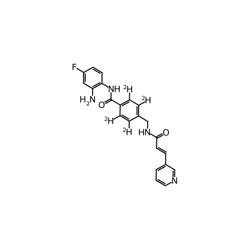 [2H]c1c([2H])c(C(=O)Nc2ccc(F)cc2N)c([2H])c([2H])c1CNC(=O)/C=C/c1cccnc1